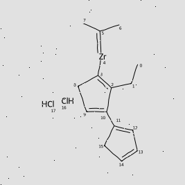 CCC1=[C]([Zr]=[C](C)C)CC=C1C1=CC=CC1.Cl.Cl